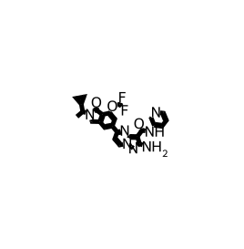 CC(C1CC1)N1Cc2cc(-c3ccn4nc(N)c(C(=O)Nc5cccnc5)c4n3)cc(OC(F)F)c2C1=O